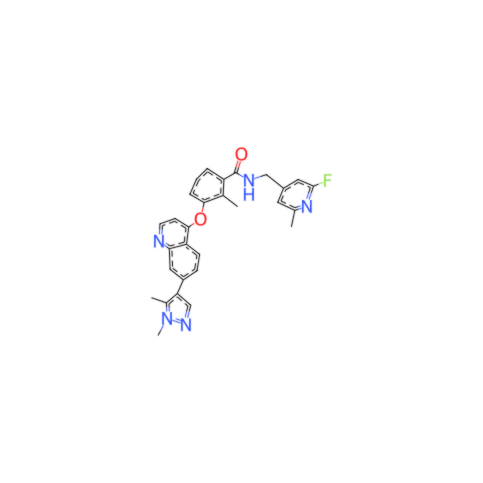 Cc1cc(CNC(=O)c2cccc(Oc3ccnc4cc(-c5cnn(C)c5C)ccc34)c2C)cc(F)n1